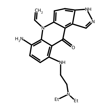 C=Cn1c2ccc3[nH]ncc3c2c(=O)c2c(NCCN(CC)CC)ccc(N)c21